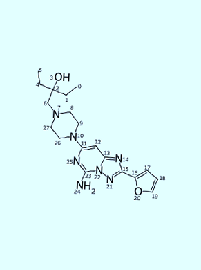 CCC(O)(CC)CN1CCN(c2cc3nc(-c4ccco4)nn3c(N)n2)CC1